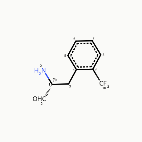 N[C@@H](C=O)Cc1ccccc1C(F)(F)F